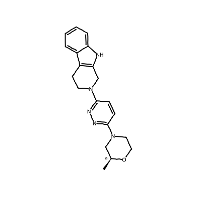 C[C@H]1CN(c2ccc(N3CCc4c([nH]c5ccccc45)C3)nn2)CCO1